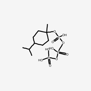 CC(C)C1CCC(C)(OP(=O)(O)OP(=O)(O)OP(=O)(O)O)CC1